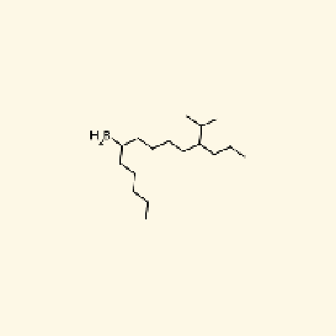 BC(CCCCC)CCCCC(CCC)C(C)C